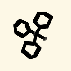 [Zr][Si](c1ccccc1)(c1ccccc1)c1ccccc1